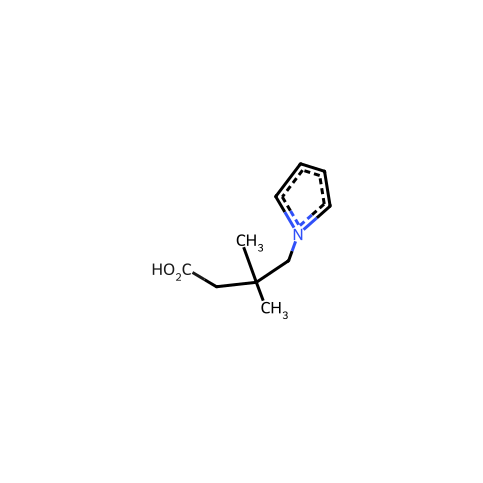 CC(C)(CC(=O)O)Cn1cccc1